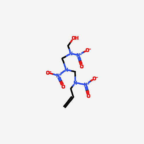 C=CCN(CN(CN(CO)[N+](=O)[O-])[N+](=O)[O-])[N+](=O)[O-]